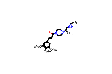 COc1cc(/C=C/C(=O)N2CCN(C(C)CNCC(C)C)CC2)cc(OC)c1OC